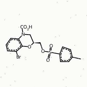 Cc1ccc(S(=O)(=O)OC[C@@H]2CN(C(=O)O)c3cccc(Br)c3O2)cc1